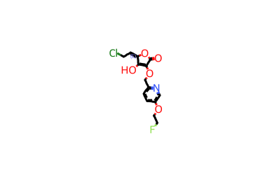 O=C1O/C(=C/CCl)C(O)=C1OCc1ccc(OCCF)cn1